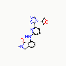 CN1Cc2cccc(Nc3cccc(-c4nncn4C4COC4)n3)c2C1=O